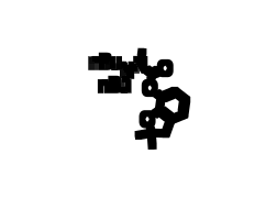 CCCCN(CCCC)N(C)C(=O)Oc1cccc2c1OC(C)(C)C2